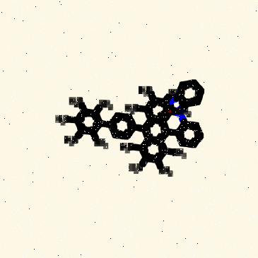 Bc1c(B)c(B)c(-c2ccc(-c3c4c(B)c(B)c(B)c(B)c4c(-c4ccccc4-n4c(C)nc5ccccc54)c4c(B)c(B)c(B)c(B)c34)cc2)c(B)c1B